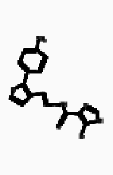 O=C(NN=Cc1ccoc1-c1ccc([N+](=O)[O-])cc1)c1nc[nH]c1Br